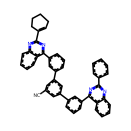 N#Cc1cc(-c2cccc(-c3nc(C4=CCCCC4)nc4ccccc34)c2)cc(-c2cccc(-c3nc(-c4ccccc4)nc4ccccc34)c2)c1